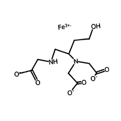 O=C([O-])CNCC(CCO)N(CC(=O)[O-])CC(=O)[O-].[Fe+3]